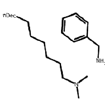 CCCCCCCCCCCCCCCCN(C)C.NCc1ccccc1